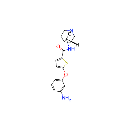 Nc1cccc(Oc2ccc(C(=O)N[C@H]3CN4CCC3CC4)s2)c1